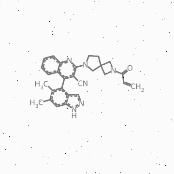 C=CC(=O)N1CC2(CCN(c3nc4ccccc4c(-c4c(C)c(C)cc5[nH]ncc45)c3C#N)C2)C1